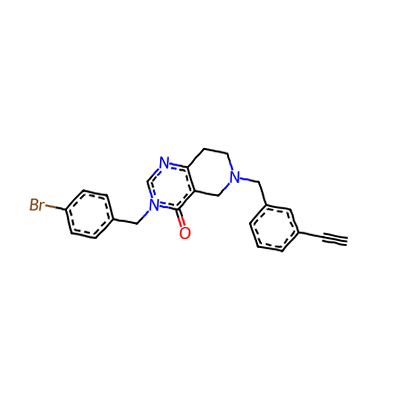 C#Cc1cccc(CN2CCc3ncn(Cc4ccc(Br)cc4)c(=O)c3C2)c1